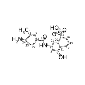 Cc1cc(C(=O)Nc2cc(O)c3cccc(S(=O)(=O)O)c3c2)ccc1N